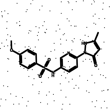 COc1ccc(S(=O)(=O)Nc2ccc(-n3[nH]c(C)cc3=O)nc2)cc1